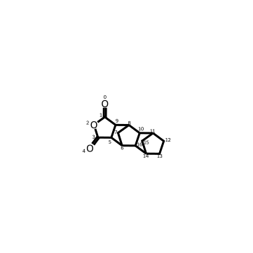 O=C1OC(=O)C2C3CC(C12)C1C2CCC(C2)C31